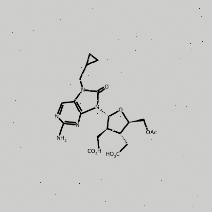 CC(=O)OC[C@@H]1O[C@@H](n2c(=O)n(CC3CC3)c3cnc(N)nc32)[C@H](CC(=O)O)[C@H]1CC(=O)O